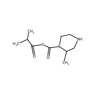 CC(C)C(=O)OC(=O)N1CCNCC1C